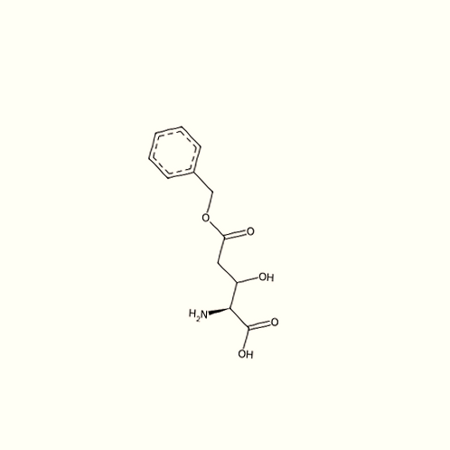 N[C@H](C(=O)O)C(O)CC(=O)OCc1ccccc1